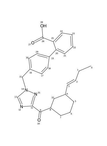 CCC=CC1CCCC(C(=O)c2ncn(Cc3ccc(-c4ccccc4C(=O)O)cc3)n2)C1